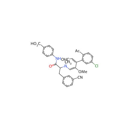 COC(=C/N(C)C(Cc1cccc(C#N)c1)C(=O)Nc1ccc(C(=O)O)cc1)/C(=C\C=O)c1cc(Cl)ccc1C(C)=O